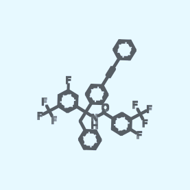 O=C(NC(Cc1ccccc1)(c1ccc(C#Cc2ccccc2)cc1)c1cc(F)cc(C(F)(F)F)c1)c1ccc(F)c(C(F)(F)F)c1